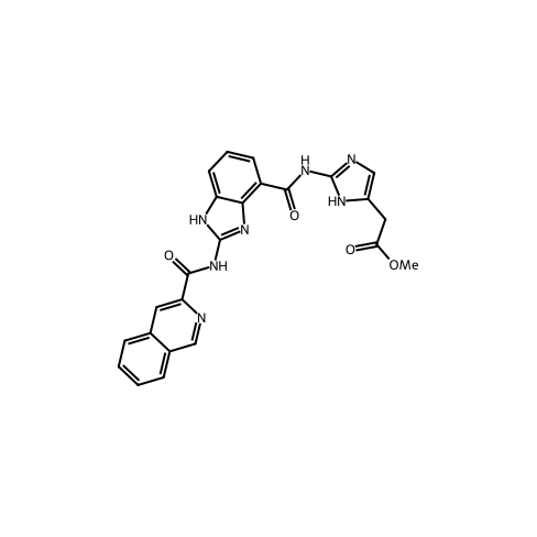 COC(=O)Cc1cnc(NC(=O)c2cccc3[nH]c(NC(=O)c4cc5ccccc5cn4)nc23)[nH]1